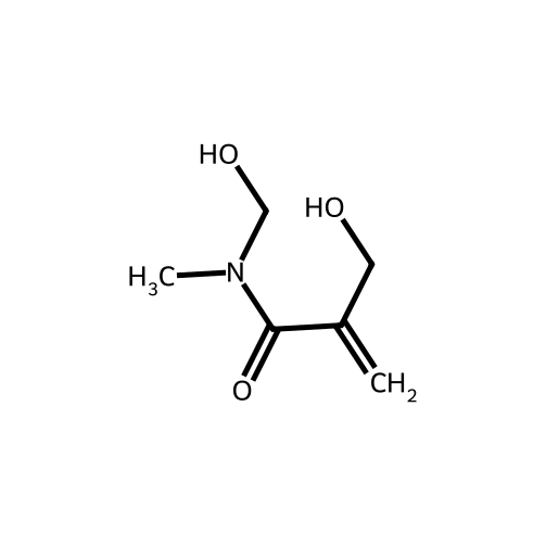 C=C(CO)C(=O)N(C)CO